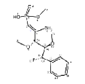 B/C(=C\P(=O)(O)OC)[C@@H](OC)[C@@H](OC)[C@@H](F)c1ccccc1